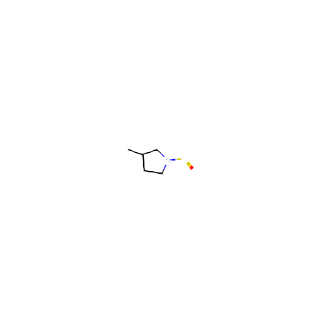 CC1CCN([SH]=O)C1